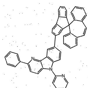 C1=Cc2ccccc2C2(c3ccccc31)c1ccccc1-c1ccc(-c3ccc4c(c3)c3nc(-c5ccccc5)ccc3n4-c3ccccn3)cc12